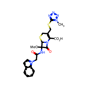 COC1(NC(=O)Cn2ccc3ccccc32)C(=O)N2C(C(=O)O)=C(CSc3nnnn3C)CSC21